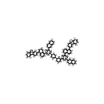 c1cc(-c2ccc(-c3nc(-c4ccc5ccccc5c4)nc(-c4cccc5c(-c6ccc7c(c6)oc6ccccc67)cccc45)n3)cc2)cc(-c2nc(-c3ccc4ccccc4c3)nc(-c3cccc4c(-c5ccc6oc7ccccc7c6c5)cccc34)n2)c1